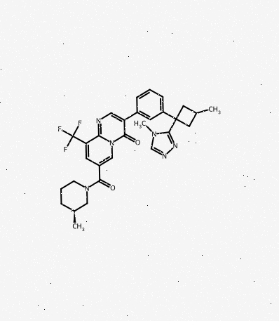 CC1CC(c2cccc(-c3cnc4c(C(F)(F)F)cc(C(=O)N5CCC[C@H](C)C5)cn4c3=O)c2)(c2nncn2C)C1